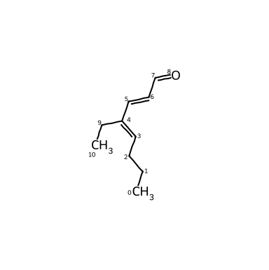 CCCC=C(/C=C/C=O)CC